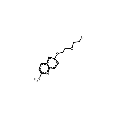 Nc1ccc2cc(OCCOCCBr)ccc2n1